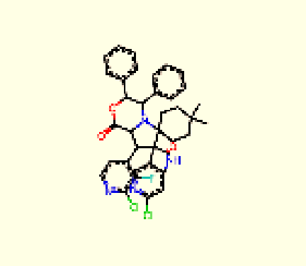 CC1(C)CCC2(CC1)N1C(C(=O)OC(c3ccccc3)C1c1ccccc1)C(c1ccnc(Cl)c1F)C21C(=O)Nc2cc(Cl)ncc21